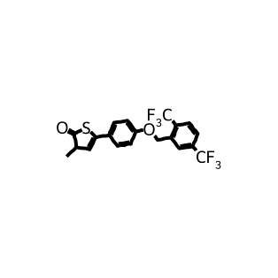 CC1C=C(c2ccc(OCc3cc(C(F)(F)F)ccc3C(F)(F)F)cc2)SC1=O